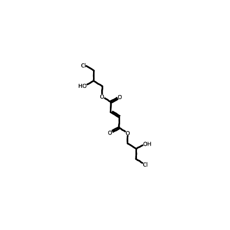 O=C(C=CC(=O)OCC(O)CCl)OCC(O)CCl